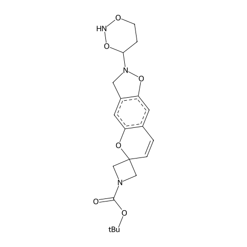 CC(C)(C)OC(=O)N1CC2(C=Cc3cc4c(cc3O2)CN(C2CCONO2)O4)C1